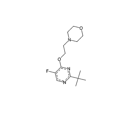 CC(C)(C)c1ncc(F)c(OCCN2CCOCC2)n1